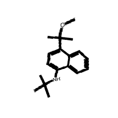 COC(C)(C)c1ccc(NC(C)(C)C)c2ccccc12